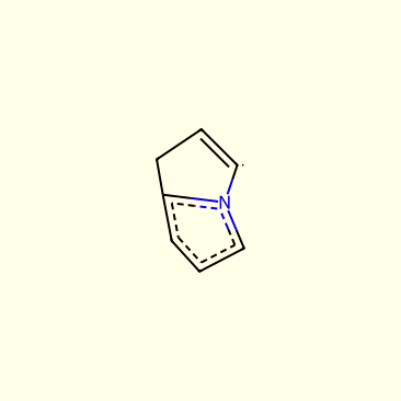 [C]1=CCc2cccn21